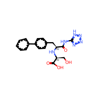 O=C(O)[C@H](CO)N[C@@H](Cc1ccc(-c2ccccc2)cc1)C(=O)Nc1nnn[nH]1